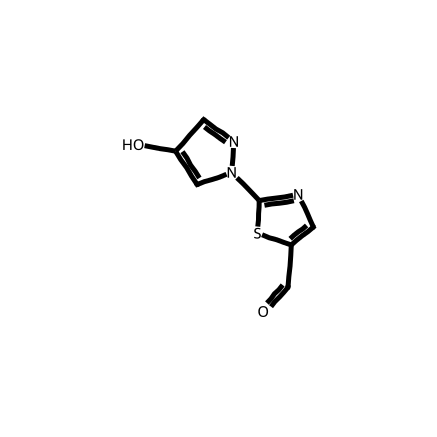 O=Cc1cnc(-n2cc(O)cn2)s1